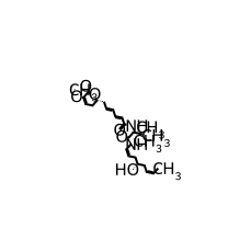 C/C=C\C[C@H](O)C/C=C\NC(=O)[C@@H](NC(=O)/C=C/C=C/C[C@@H]1CC=C(OC)C(=O)O1)C(C)(C)C